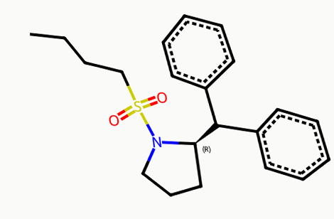 CCCCS(=O)(=O)N1CCC[C@@H]1C(c1ccccc1)c1ccccc1